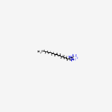 CCCCCCCCCCCCCCCC=Cc1n[nH]c(N)n1